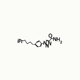 CC(C)CCCCc1ccc(-n2cc(C(N)=O)nn2)cc1